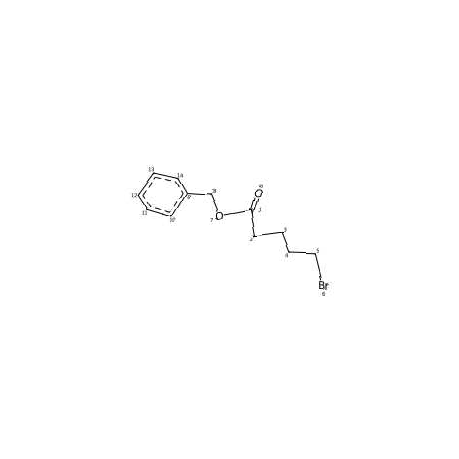 O=C(CCCCBr)OCc1ccccc1